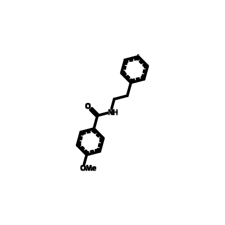 COc1ccc(C(=O)NCCc2cc[c]cc2)cc1